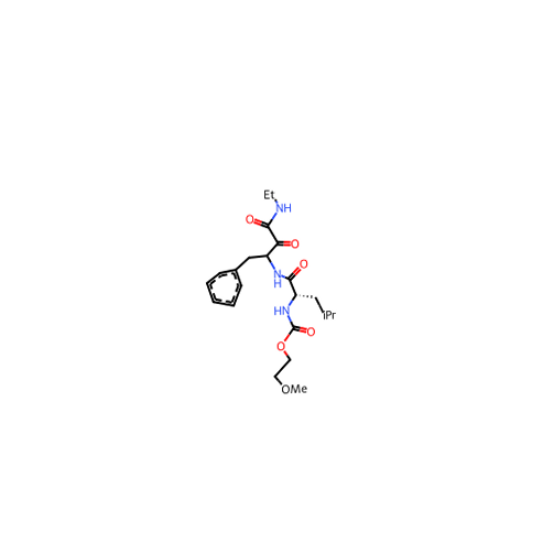 CCNC(=O)C(=O)C(Cc1ccccc1)NC(=O)[C@H](CC(C)C)NC(=O)OCCOC